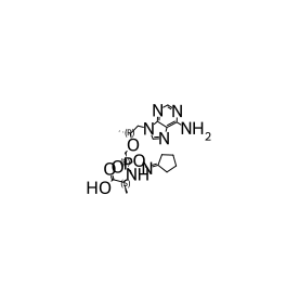 C[C@H](Cn1cnc2c(N)ncnc21)OC[P@](=O)(N[C@@H](C)C(=O)O)ON=C1CCCC1